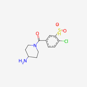 NC1CCN(C(=O)c2ccc(Cl)c([SH](=O)=O)c2)CC1